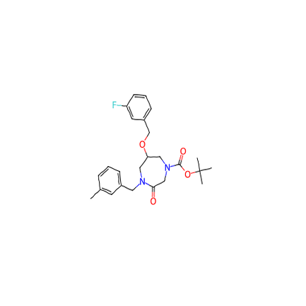 Cc1cccc(CN2CC(OCc3cccc(F)c3)CN(C(=O)OC(C)(C)C)CC2=O)c1